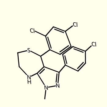 Cn1nc(-c2ccc(Cl)cc2)c2c1NCCSC2c1ccc(Cl)cc1Cl